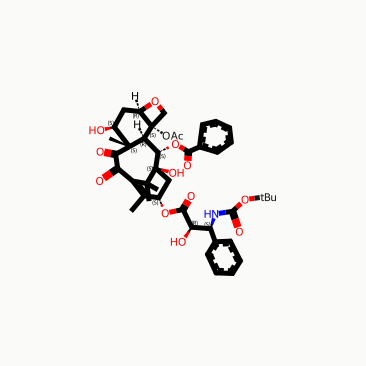 CC(=O)O[C@@]12CO[C@@H]1C[C@H](O)[C@@]1(C)C(=O)C(=O)C3=C(C)[C@@H](OC(=O)[C@H](O)[C@@H](NC(=O)OC(C)(C)C)c4ccccc4)C[C@@](O)([C@@H](OC(=O)c4ccccc4)[C@H]21)C3(C)C